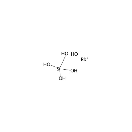 O[Si](O)(O)O.[OH-].[Rb+]